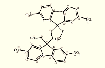 O=[N+]([O-])c1ccc2c(c1)C(CO)(CCC1(CO)c3cc([N+](=O)[O-])ccc3-c3ccc([N+](=O)[O-])cc31)c1cc([N+](=O)[O-])ccc1-2